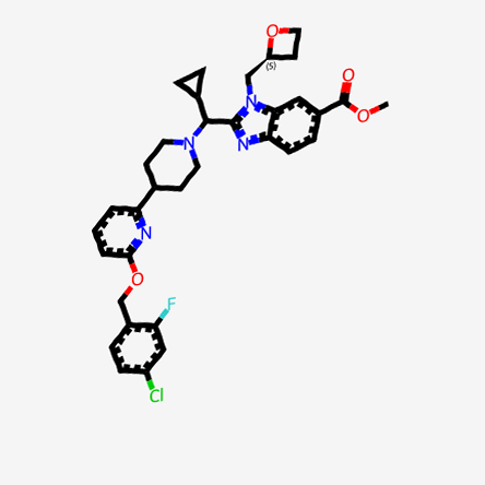 COC(=O)c1ccc2nc(C(C3CC3)N3CCC(c4cccc(OCc5ccc(Cl)cc5F)n4)CC3)n(C[C@@H]3CCO3)c2c1